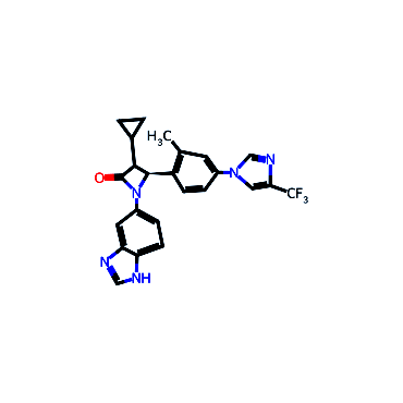 Cc1cc(-n2cnc(C(F)(F)F)c2)ccc1[C@@H]1C(C2CC2)C(=O)N1c1ccc2[nH]cnc2c1